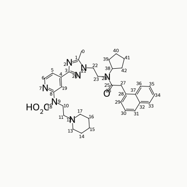 Cc1nc(-c2ccnc(N(CCN3CCCCC3)C(=O)O)c2)nn1CCN(C(=O)Cc1cccc2ccccc12)C1CCCC1